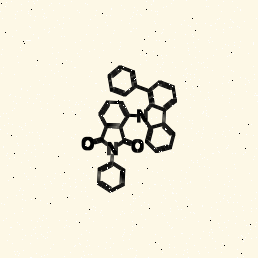 O=C1c2cccc(-n3c4ccccc4c4cccc(-c5ccccc5)c43)c2C(=O)N1c1ccccc1